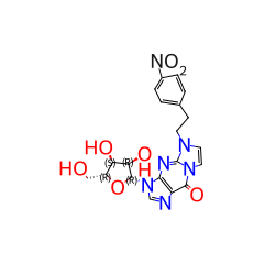 O=c1c2ncn([C@@H]3O[C@H](CO)[C@@H](O)[C@H]3O)c2nc2n(CCc3ccc([N+](=O)[O-])cc3)ccn12